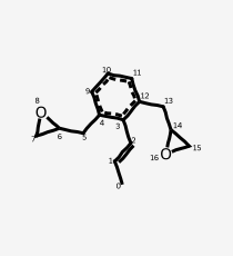 CC=Cc1c(CC2CO2)cccc1CC1CO1